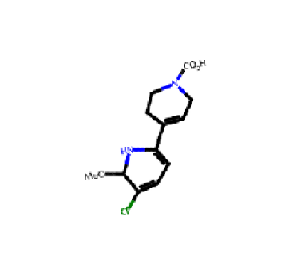 COC1NC(C2=CCN(C(=O)O)CC2)=CC=C1Cl